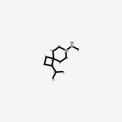 CNN1CCC2(CCC2C(C)C)CC1